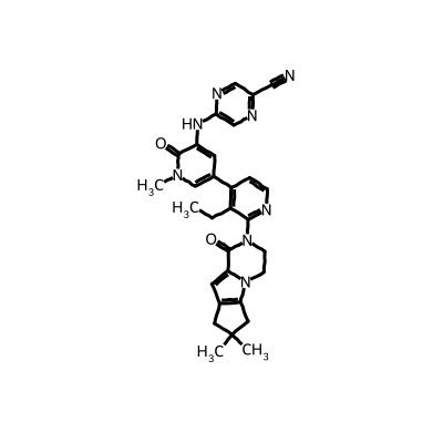 CCc1c(-c2cc(Nc3cnc(C#N)cn3)c(=O)n(C)c2)ccnc1N1CCn2c(cc3c2CC(C)(C)C3)C1=O